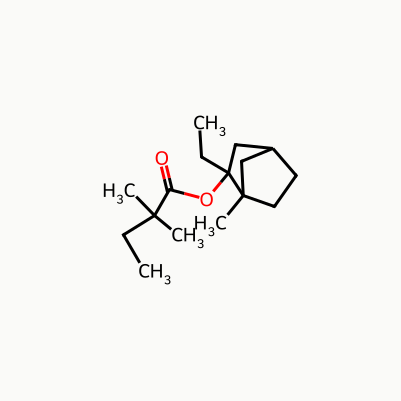 CCC(C)(C)C(=O)OC1(CC)CC2CCC1(C)C2